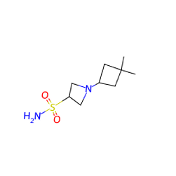 CC1(C)CC(N2CC(S(N)(=O)=O)C2)C1